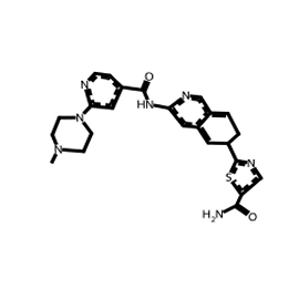 CN1CCN(c2cc(C(=O)Nc3cc4c(cn3)=CCC(c3ncc(C(N)=O)s3)C=4)ccn2)CC1